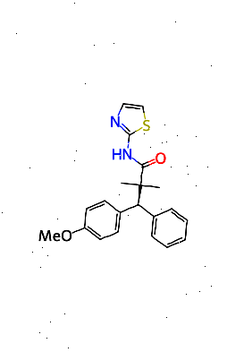 COc1ccc([C@H](c2ccccc2)C(C)(C)C(=O)Nc2nccs2)cc1